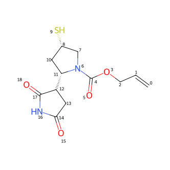 C=CCOC(=O)N1C[C@@H](S)C[C@H]1C1CC(=O)NC1=O